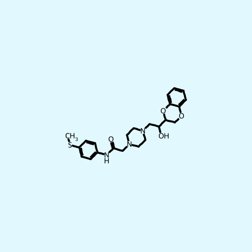 CSc1ccc(NC(=O)CN2CCN(CC(O)C3COc4ccccc4O3)CC2)cc1